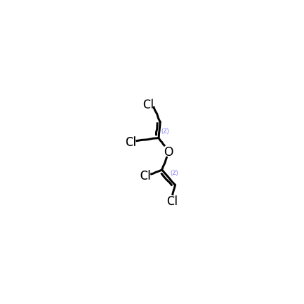 Cl/C=C(\Cl)O/C(Cl)=C/Cl